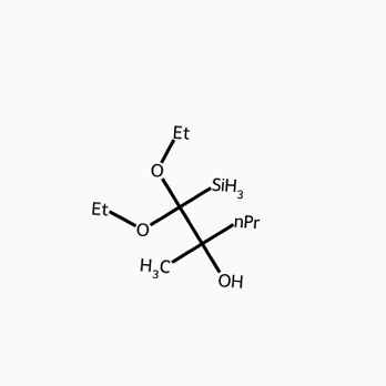 CCCC(C)(O)C([SiH3])(OCC)OCC